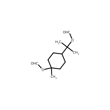 CC1(OC=O)CCC(C(C)(C)OC=O)CC1